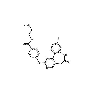 CC(=O)NCCNC(=O)c1ccc(Nc2ncc3c(n2)-c2ccc(I)cc2NC(=O)C3)cc1